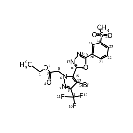 CCOC(=O)Cn1nc(C(F)(F)F)c(Br)c1-c1nnc(-c2cccc(S(C)(=O)=O)c2)o1